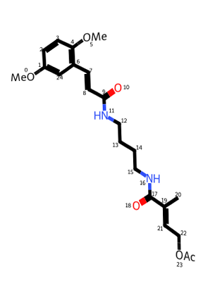 COc1ccc(OC)c(/C=C/C(=O)NCCCCNC(=O)/C(C)=C/COC(C)=O)c1